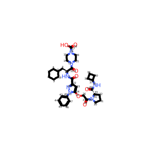 O=C(N[C@@H](CC1CCCCC1)C(=O)N1CCN(C(=O)O)CC1)c1cc(OCC(=O)N2CCC[C@H]2C(=O)NC2CCC2)n(-c2ccccc2)n1